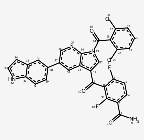 NC(=O)c1ccc(F)c(C(=O)c2cn(C(=O)c3c(Cl)cccc3Cl)c3ncc(-c4ccc5[nH]ccc5c4)cc23)c1F